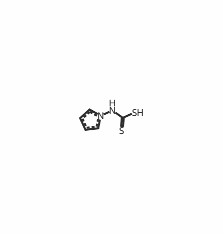 S=C(S)Nn1cccc1